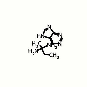 CCC(C)(N)N.c1ncc2[nH]cnc2n1